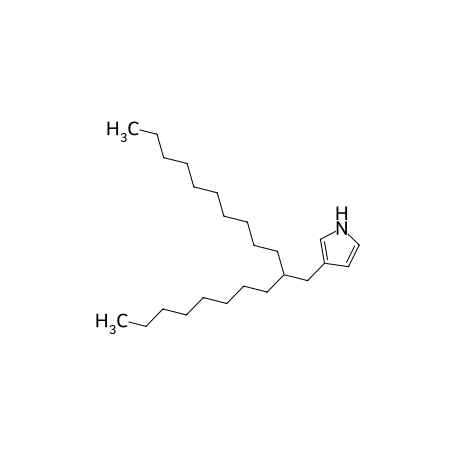 CCCCCCCCCCC(CCCCCCCC)Cc1cc[nH]c1